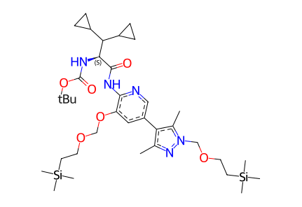 Cc1nn(COCC[Si](C)(C)C)c(C)c1-c1cnc(NC(=O)[C@@H](NC(=O)OC(C)(C)C)C(C2CC2)C2CC2)c(OCOCC[Si](C)(C)C)c1